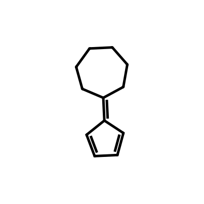 C1=CC(=C2CCCCCC2)C=C1